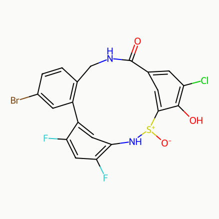 O=C1NCc2ccc(Br)cc2-c2cc(c(F)cc2F)N[S+]([O-])c2cc1cc(Cl)c2O